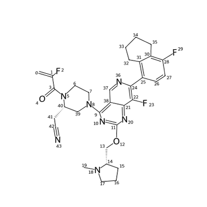 C=C(F)C(=O)N1CCN(c2nc(OC[C@@H]3CCCN3C)nc3c(F)c(-c4ccc(F)c5c4CCCC5)ncc23)C[C@@H]1CC#N